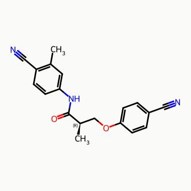 Cc1cc(NC(=O)[C@H](C)COc2ccc(C#N)cc2)ccc1C#N